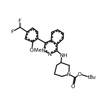 COc1cc(C(F)F)ccc1-c1nnc(NC2CCCN(C(=O)OC(C)(C)C)C2)c2ccccc12